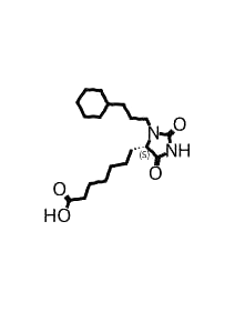 O=C(O)CCCCCC[C@H]1C(=O)NC(=O)N1CCCC1CCCCC1